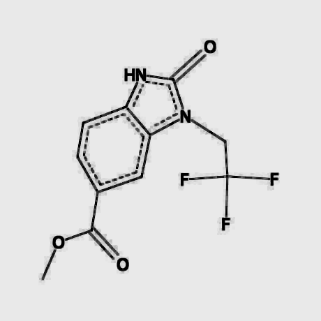 COC(=O)c1ccc2[nH]c(=O)n(CC(F)(F)F)c2c1